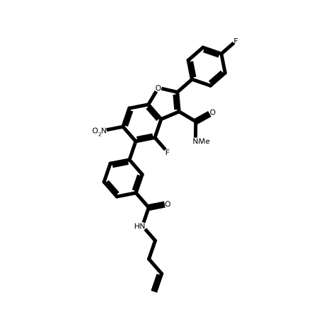 C=CCCNC(=O)c1cccc(-c2c([N+](=O)[O-])cc3oc(-c4ccc(F)cc4)c(C(=O)NC)c3c2F)c1